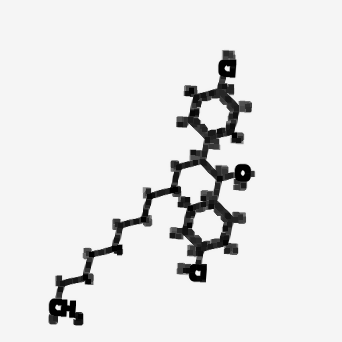 CCCCCCCCCCC(c1ccc(Cl)cc1)C([O])c1ccc(Cl)cc1